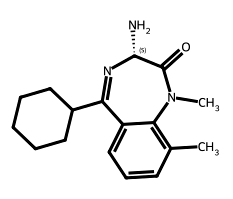 Cc1cccc2c1N(C)C(=O)[C@@H](N)N=C2C1CCCCC1